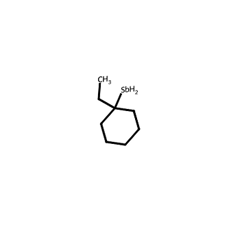 CC[C]1([SbH2])CCCCC1